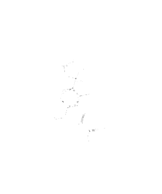 COc1ccc(C2(C)OC=CO2)c(F)c1/C=C/C(=O)O